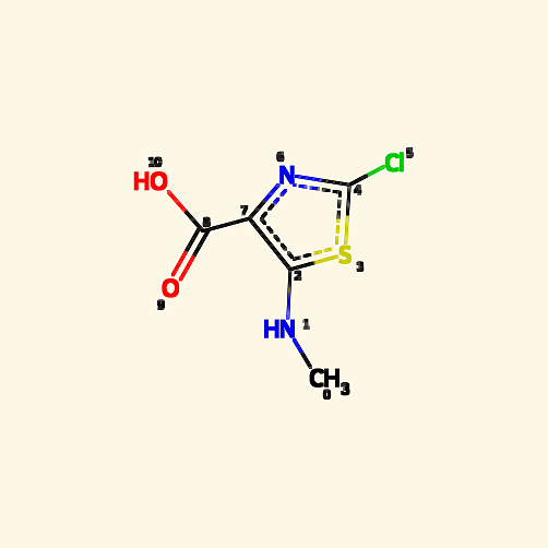 CNc1sc(Cl)nc1C(=O)O